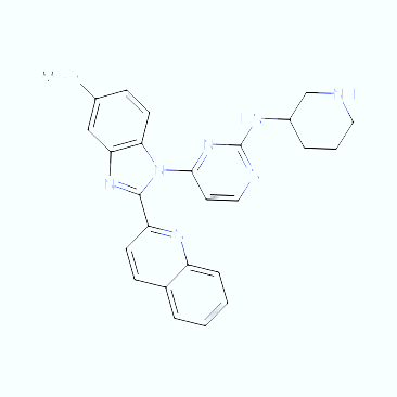 COc1ccc2c(c1)nc(-c1ccc3ccccc3n1)n2-c1ccnc(NC2CCCNC2)n1